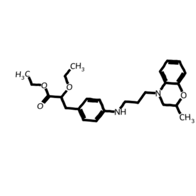 CCOC(=O)C(Cc1ccc(NCCCN2CC(C)Oc3ccccc32)cc1)OCC